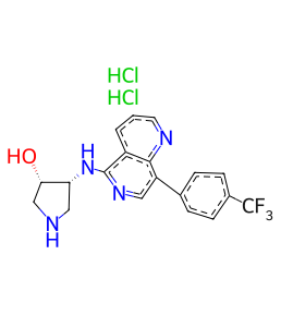 Cl.Cl.O[C@H]1CNC[C@H]1Nc1ncc(-c2ccc(C(F)(F)F)cc2)c2ncccc12